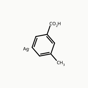 Cc1cccc(C(=O)O)c1.[Ag]